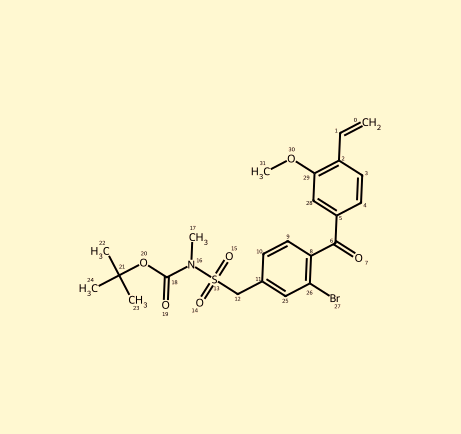 C=Cc1ccc(C(=O)c2ccc(CS(=O)(=O)N(C)C(=O)OC(C)(C)C)cc2Br)cc1OC